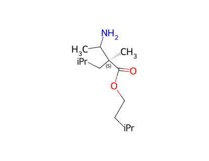 CC(C)CCOC(=O)[C@@](C)(CC(C)C)C(C)N